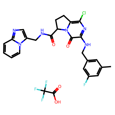 Cc1cc(F)cc(CNc2nc(Cl)c3n(c2=O)C(C(=O)NCc2cnc4ccccn24)CC3)c1.O=C(O)C(F)(F)F